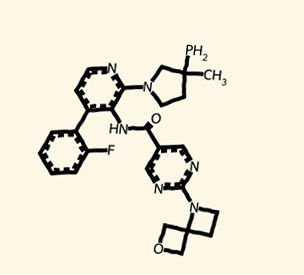 CC1(P)CCN(c2nccc(-c3ccccc3F)c2NC(=O)c2cnc(N3CCC34COC4)nc2)C1